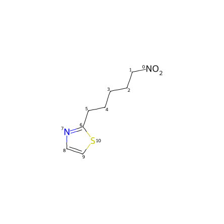 O=[N+]([O-])CCCCCc1nccs1